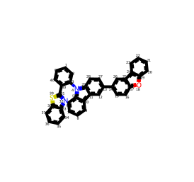 c1ccc(-n2c3ccccc3c3cc(-c4ccc5oc6ccccc6c5c4)ccc32)c(-c2nc3ccccc3s2)c1